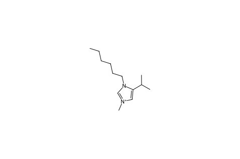 CCCCCCn1c[n+](C)cc1C(C)C